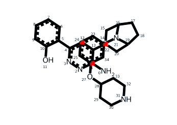 Nc1nnc(-c2ccccc2O)cc1N1CC2CCC(C1)N2c1cccc(OC2CCNCC2)c1